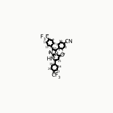 N#Cc1ccc(-c2c(-c3ccc(C(F)(F)F)cc3)nc3[nH]c(-c4ccc(C(F)(F)F)cc4)cc(=O)n23)cc1